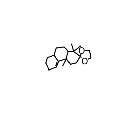 CC12CCC3(OCCO3)C(C)(C)C1CCC1CCCC=C12